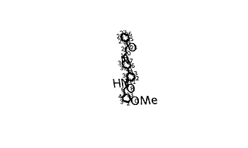 COc1cccc(CC(=O)Nc2cccc(C3CCN(CCCC(=O)c4ccccc4)CC3)c2)c1